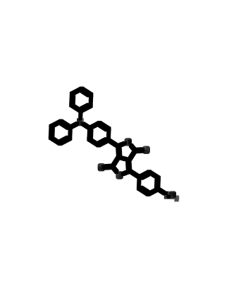 O=C1OC(c2ccc([N+](=O)[O-])cc2)=C2C(=O)OC(c3ccc(N(c4ccccc4)c4ccccc4)cc3)=C12